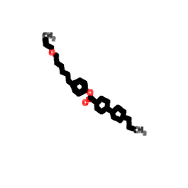 C=CCOCCCCCCc1ccc(OC(=O)C2CCC(C3CCC(CCC)CC3)CC2)cc1